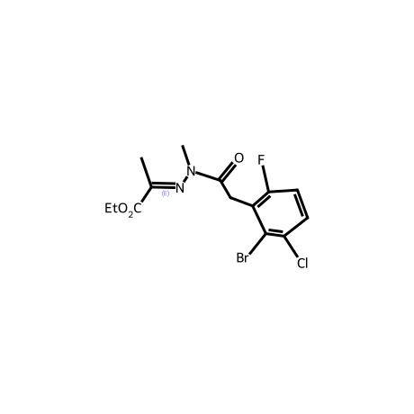 CCOC(=O)/C(C)=N/N(C)C(=O)Cc1c(F)ccc(Cl)c1Br